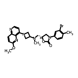 COc1ccc2nccc(N3CC(N(C)C[C@@H]4CN(c5ccc(C)c(Br)c5)C(=O)O4)C3)c2n1